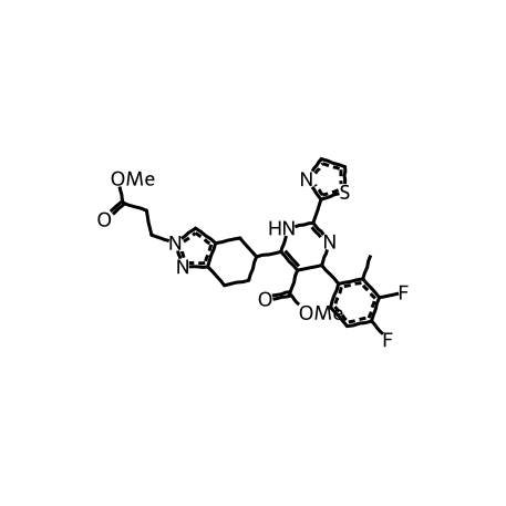 COC(=O)CCn1cc2c(n1)CCC(C1=C(C(=O)OC)C(c3ccc(F)c(F)c3C)N=C(c3nccs3)N1)C2